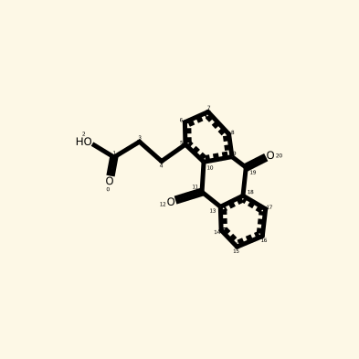 O=C(O)CCc1cccc2c1C(=O)c1ccccc1C2=O